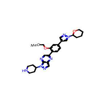 COCOc1cc(-c2cnn(C3CCCCO3)c2)ccc1-c1cnc2c(cnn2C2CCNCC2)n1